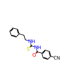 N#Cc1ccc(C(=O)NC(=S)NCCc2ccccc2)cc1